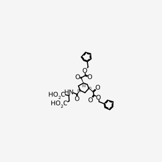 O=C(O)CC(NC(=O)[C@H]1C[C@@H](C(=O)C(=O)OCc2ccccc2)C[C@@H](C(=O)C(=O)OCc2ccccc2)C1)C(=O)O